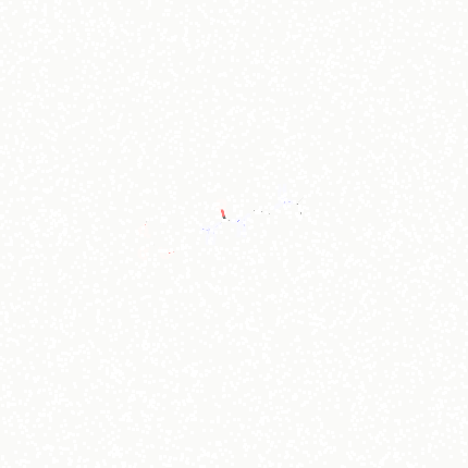 CO[Si](CCCNC(=O)NCCNC(C)C)(OC)OC